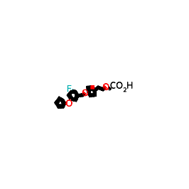 O=C(O)COCCC12CCC(OCc3cc(F)cc(Oc4ccccc4)c3)(CC1)C2